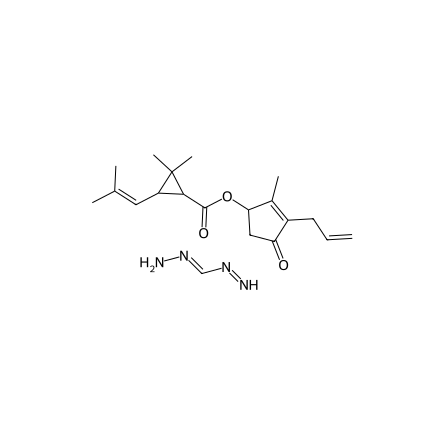 C=CCC1=C(C)C(OC(=O)C2C(C=C(C)C)C2(C)C)CC1=O.N=N/C=N/N